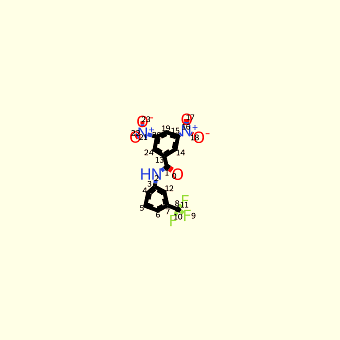 O=C(Nc1cccc(C(F)(F)F)c1)c1cc([N+](=O)[O-])cc([N+](=O)[O-])c1